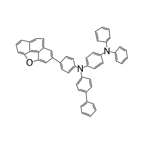 c1ccc(-c2ccc(N(c3ccc(-c4cc5ccc6cccc7oc(c4)c5c67)cc3)c3ccc(N(c4ccccc4)c4ccccc4)cc3)cc2)cc1